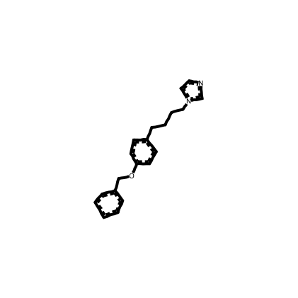 c1ccc(COc2ccc(CCCCn3ccnc3)cc2)cc1